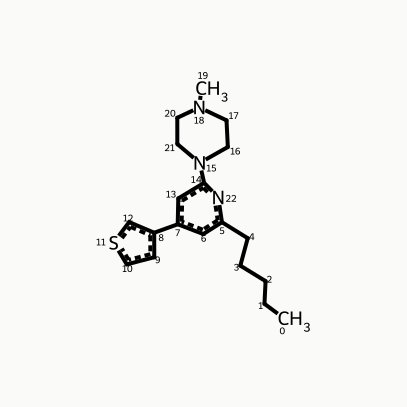 CCCCCc1cc(-c2ccsc2)cc(N2CCN(C)CC2)n1